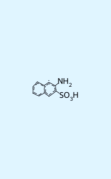 Nc1[c]c2ccccc2cc1S(=O)(=O)O